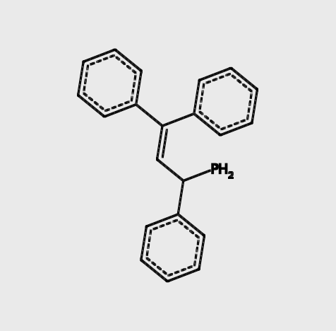 PC(C=C(c1ccccc1)c1ccccc1)c1ccccc1